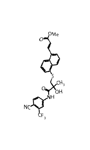 COC(=O)/C=C/c1cccc2c(SCC(C)(O)C(=O)Nc3ccc(C#N)c(C(F)(F)F)c3)cccc12